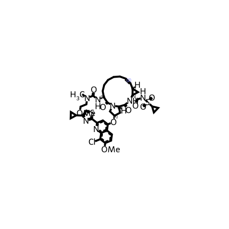 COCCN(C)C(=O)N[C@H]1CCCCC/C=C\[C@@H]2C[C@@]2(C(=O)NS(=O)(=O)C2CC2)NC(=O)[C@@H]2C[C@@H](Oc3cc(-c4nc(C5CC5)cs4)nc4c(Cl)c(OC)ccc34)CN2C1=O